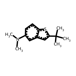 CN(C)c1ccc2sc(C(C)(C)C)cc2c1